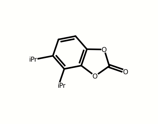 CC(C)c1ccc2oc(=O)oc2c1C(C)C